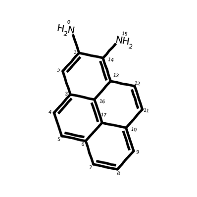 Nc1cc2ccc3cccc4ccc(c1N)c2c34